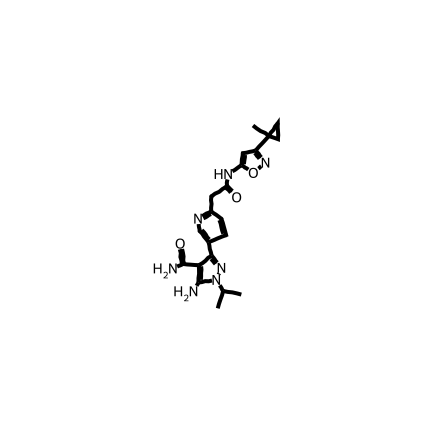 CC(C)n1nc(-c2ccc(CC(=O)Nc3cc(C4(C)CC4)no3)nc2)c(C(N)=O)c1N